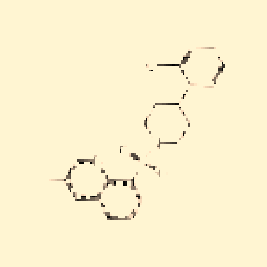 Cc1cnc2c(S(=O)(=O)N3CCC(C4C=CCC=C4Cl)CC3)cccc2c1